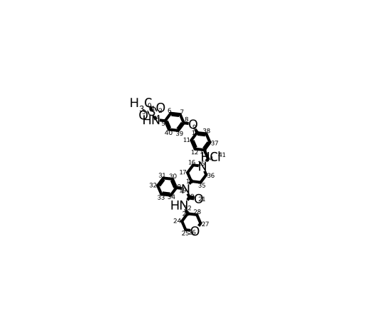 CS(=O)(=O)Nc1ccc(Oc2ccc(CN3CCC(N(C(=O)NC4CCOCC4)c4ccccc4)CC3)cc2)cc1.Cl